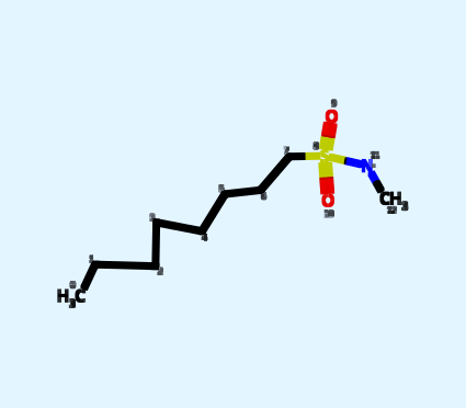 CCCCCCCCS(=O)(=O)[N]C